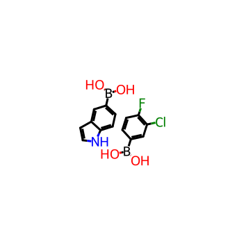 OB(O)c1ccc(F)c(Cl)c1.OB(O)c1ccc2[nH]ccc2c1